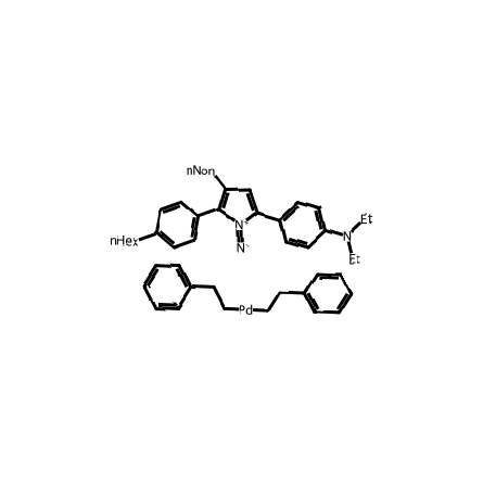 CCCCCCCCCC1=C(c2ccc(CCCCCC)cc2)[N+](=[N-])C(c2ccc(N(CC)CC)cc2)=C1.c1ccc(C[CH2][Pd][CH2]Cc2ccccc2)cc1